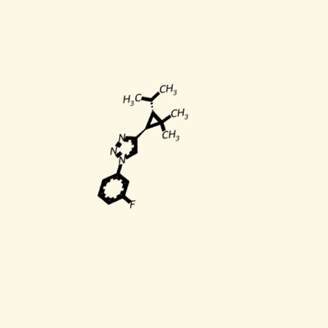 CC(C)[C@H]1[C@H](c2cn(-c3cccc(F)c3)nn2)C1(C)C